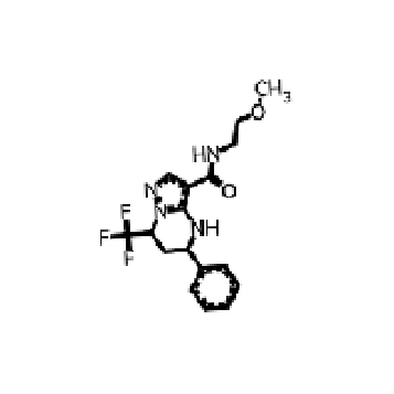 COCCNC(=O)c1cnn2c1NC(c1ccccc1)CC2C(F)(F)F